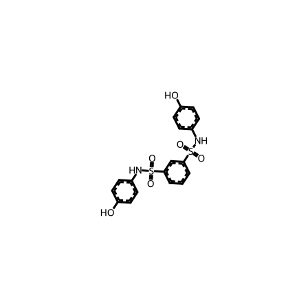 O=S(=O)(Nc1ccc(O)cc1)c1cccc(S(=O)(=O)Nc2ccc(O)cc2)c1